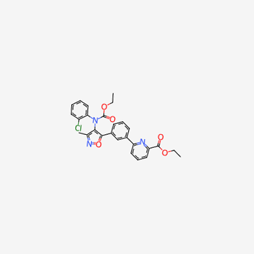 CCOC(=O)c1cccc(-c2cccc(-c3onc(C)c3N(C(=O)OCC)c3ccccc3Cl)c2)n1